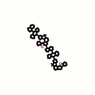 CC1(C)c2cc(-c3c4ccccc4c(-c4cccc5c(-c6cc7ccc8c(c7c7c6oc6ccccc67)-c6ccc(-c7c9ccccc9c(-c9cccc%10ccccc9%10)c9ccccc79)cc6C8(C)C)cccc45)c4ccccc34)ccc2-c2c1ccc1ccc3c4ccccc4oc3c21